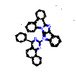 c1ccc(-c2nc(-n3c4ccccc4c4nc5c6ccccc6c6ccccc6n5c43)nc3c2ccc2ccccc23)cc1